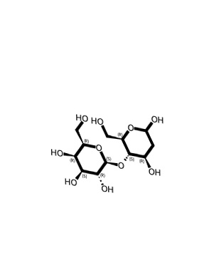 OC[C@H]1O[C@@H](O[C@H]2[C@H](O)CC(O)O[C@@H]2CO)[C@H](O)[C@@H](O)[C@H]1O